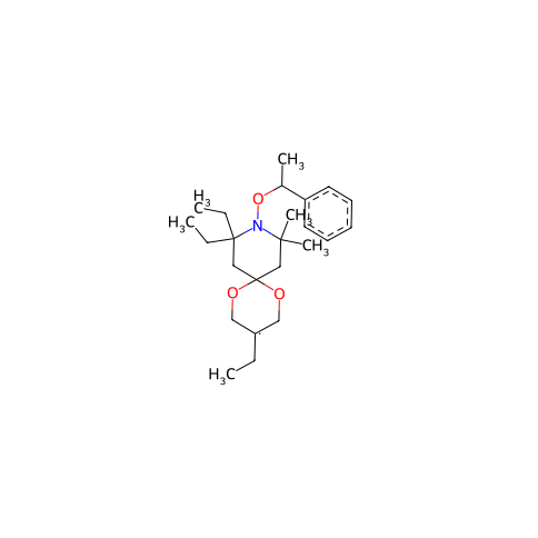 CC[C]1COC2(CC(C)(C)N(OC(C)c3ccccc3)C(CC)(CC)C2)OC1